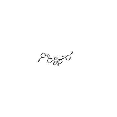 C#Cc1cccc(Oc2cccc(C(c3cccc(Oc4cccc(C#C)c4)c3)(C(F)(F)F)C(F)(F)F)c2)c1